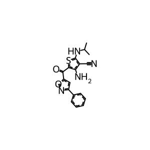 CC(C)Nc1sc(C(=O)c2cc(-c3ccccc3)no2)c(N)c1C#N